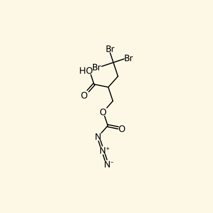 [N-]=[N+]=NC(=O)OCC(CC(Br)(Br)Br)C(=O)O